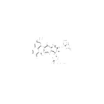 CCc1c(F)ccc2cc(O)cc(-c3ncc4c(N5CCC(C)(C(=O)O)C5)nc(OC[C@@]56CCCN5C[C@H](F)C6)nc4c3F)c12